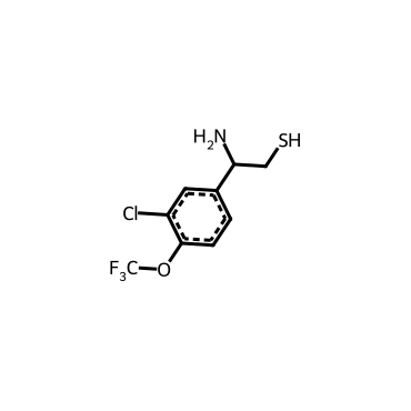 NC(CS)c1ccc(OC(F)(F)F)c(Cl)c1